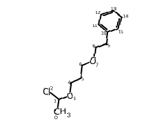 CC(Cl)OCCCOCCc1ccccc1